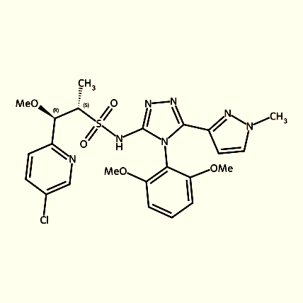 COc1cccc(OC)c1-n1c(NS(=O)(=O)[C@@H](C)[C@H](OC)c2ccc(Cl)cn2)nnc1-c1ccn(C)n1